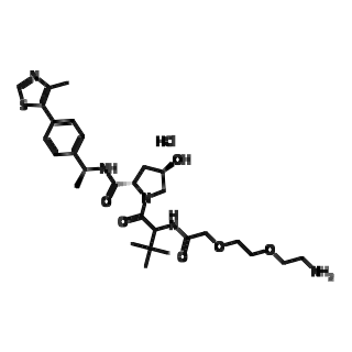 Cc1ncsc1-c1ccc([C@H](C)NC(=O)[C@@H]2C[C@@H](O)CN2C(=O)C(NC(=O)COCCOCCN)C(C)(C)C)cc1.Cl